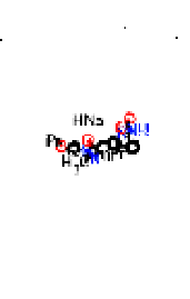 CCCc1nc(C)n(-c2ccc(OC(C)C)cc2)c(=O)c1Cc1ccc(-c2ccccc2-c2noc(=O)[nH]2)cc1.[NaH]